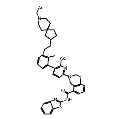 CC(=O)CN1CCC2(CCC(CCc3cccc(-c4ccc(N5CCc6cccc(C(=O)Nc7nc8ccccc8s7)c6C5)nc4C(C)=O)c3C)C2)CC1